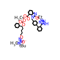 CCOc1nc2cccc(C(=O)OC(C)OC(=O)OC(CCCCO/N=[N+](\[O-])N(C)C(C)(C)C)c3ccccc3)c2n1Cc1ccc(-c2ccccc2-c2nnn[nH]2)cc1